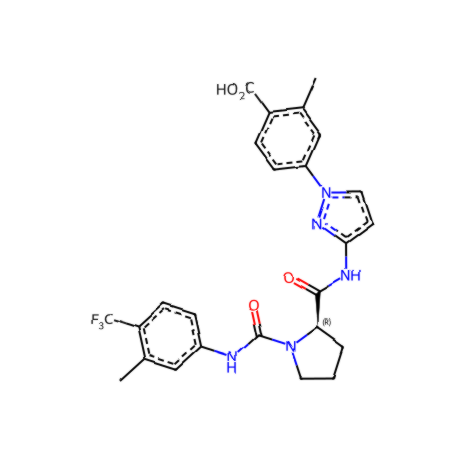 Cc1cc(-n2ccc(NC(=O)[C@H]3CCCN3C(=O)Nc3ccc(C(F)(F)F)c(C)c3)n2)ccc1C(=O)O